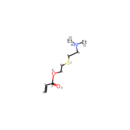 C=CC(=O)OCCSCCN(CC)CC